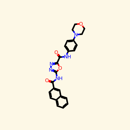 O=C(Nc1nnc(C(=O)Nc2ccc(N3CCOCC3)cc2)o1)c1ccc2ccccc2c1